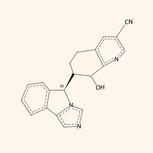 N#Cc1cnc2c(c1)CCC([C@@H]1c3ccccc3-c3cncn31)C2O